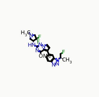 COc1nc(N[C@@H]2CN(C)CC2(F)F)nn2ccc(-c3ccc4nnn([C@@H](C)CF)c4c3)c12